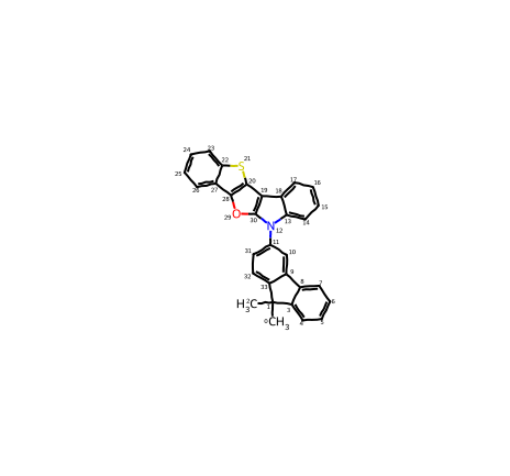 CC1(C)c2ccccc2-c2cc(-n3c4ccccc4c4c5sc6ccccc6c5oc43)ccc21